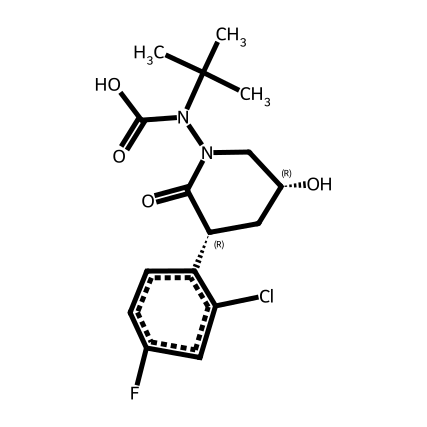 CC(C)(C)N(C(=O)O)N1C[C@H](O)C[C@H](c2ccc(F)cc2Cl)C1=O